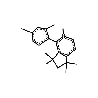 Cc1ccc(-c2c3c(cc[n+]2C)C(C)(C)CC3(C)C)c(C)c1